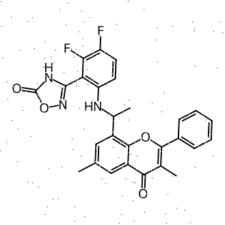 Cc1cc(C(C)Nc2ccc(F)c(F)c2-c2noc(=O)[nH]2)c2oc(-c3ccccc3)c(C)c(=O)c2c1